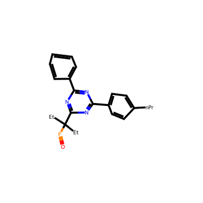 CCCc1ccc(-c2nc(-c3ccccc3)nc(C(CC)(CC)P=O)n2)cc1